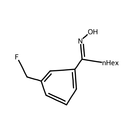 CCCCCCC(=NO)c1cccc(CF)c1